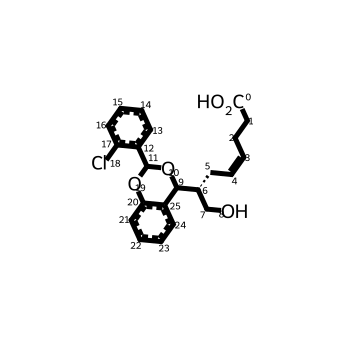 O=C(O)CC/C=C\C[C@H](CO)C1OC(c2ccccc2Cl)Oc2ccccc21